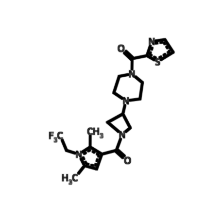 Cc1cc(C(=O)N2CC(N3CCN(C(=O)c4nccs4)CC3)C2)c(C)n1CC(F)(F)F